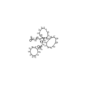 C1CCCCC(COCC2CO2)(COCC2CO2)CCCC1.C1CCCCCCCCC1.C1CCCCCCCCC1